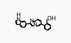 OCc1ccccc1-c1ccc2nc(-c3ccc4cc[nH]c4c3)cn2c1